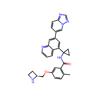 Cc1ccc(OC[C@@H]2CCN2)cc1C(=O)NC1(c2cc(-c3ccc4ncnn4c3)cc3ncccc23)CC1